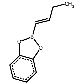 CCC=CB1Oc2ccccc2O1